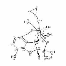 C[N+]1(CC2CC2)CC[C@]23c4c5ccc(O)c4O[C@H]2C(O)(C(=O)O)C[C@@]3(O)[C@H]1C5